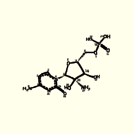 Nc1ccn([C@@H]2O[C@H](COP(=O)(O)O)[C@@H](O)[C@@]2(N)O)c(=O)n1